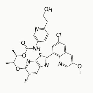 COc1cnc2c(-c3nc4cc(F)c(O[C@@H](C)[C@@H](C)OC(=O)Nc5ccc(CCO)nc5)nc4s3)cc(Cl)cc2c1